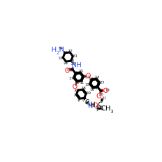 CCON=C=C1C=CC(Oc2cc(Oc3ccc(C(=O)OCC)cc3)cc(C(=O)NC3CCC(N)CC3)c2)C=C1